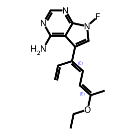 C=C/C(=C\C=C(/C)OCC)c1cn(F)c2ncnc(N)c12